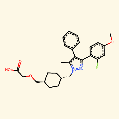 COc1ccc(-c2nn(C[C@H]3CC[C@H](COCC(=O)O)CC3)c(C)c2-c2ccccc2)c(F)c1